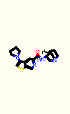 O=C(N[C@H]1CN2CCC1CC2)c1cc2c(N3CCCC3)csc2cn1